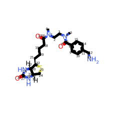 CN(CCN(C)C(=O)c1ccc(CN)cc1)C(=O)CCCC[C@H]1SC[C@H]2NC(=O)N[C@H]21